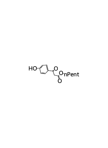 CCCCCOC(=O)CC(=O)c1ccc(O)cc1